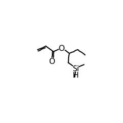 C=CC(=O)OC(CC)C[SiH](C)C